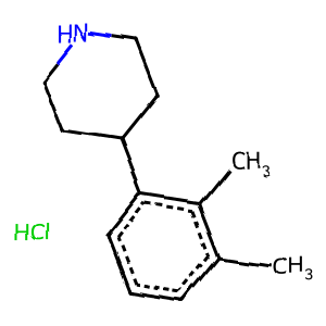 Cc1cccc(C2CCNCC2)c1C.Cl